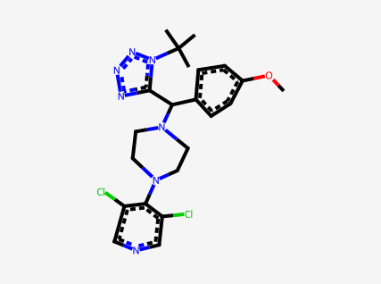 COc1ccc(C(c2nnnn2C(C)(C)C)N2CCN(c3c(Cl)cncc3Cl)CC2)cc1